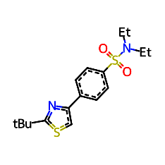 CCN(CC)S(=O)(=O)c1ccc(-c2csc(C(C)(C)C)n2)cc1